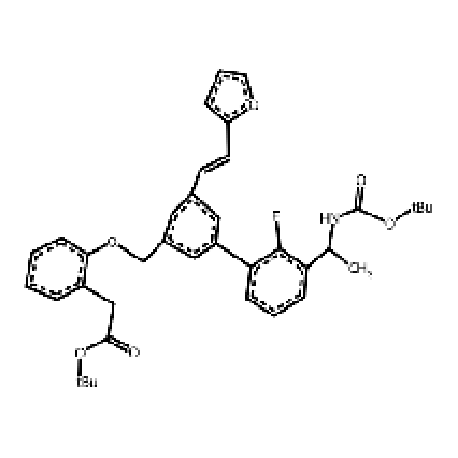 CC(NC(=O)OC(C)(C)C)c1cccc(-c2cc(C=Cc3ccco3)cc(COc3ccccc3CC(=O)OC(C)(C)C)c2)c1F